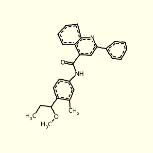 CCC(OC)c1ccc(NC(=O)c2cc(-c3ccccc3)nc3ccccc23)cc1C